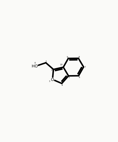 OCc1occ2ccccc12